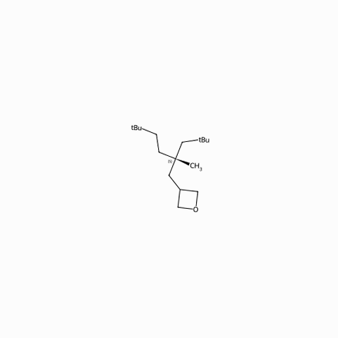 CC(C)(C)CC[C@@](C)(CC1COC1)CC(C)(C)C